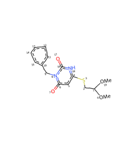 COC(CSc1cc(=O)n(Cc2ccccc2)c(=O)[nH]1)OC